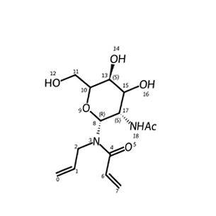 C=CCN(C(=O)C=C)[C@@H]1OC(CO)[C@@H](O)C(O)[C@@H]1NC(C)=O